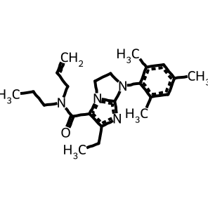 C=CCN(CCC)C(=O)c1c(CC)nc2n1CCN2c1c(C)cc(C)cc1C